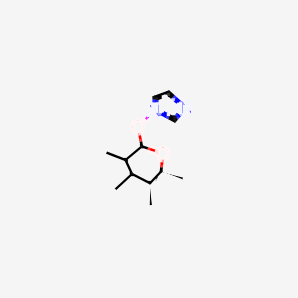 CC1C(On2ccnc2)O[C@@H](C)[C@@H](C)C1C